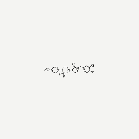 O=C1C(N2CCC(c3ccc(O)cc3)C(F)(F)C2)CCN1Cc1ccc(F)c(Cl)c1